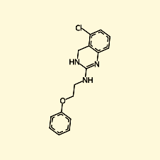 Clc1cccc2c1CNC(NCCOc1ccccc1)=N2